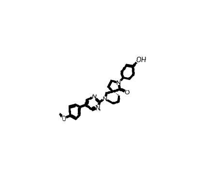 COc1ccc(-c2cnc(N3CCC[C@@]4(CCN(C5CCC(O)CC5)C4=O)C3)nc2)cc1